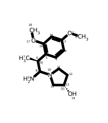 COc1ccc([C@H](C)C(N)N2CC[C@H](O)C2)c(OC)c1